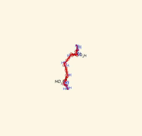 CC(CCC(=O)NCCCOCCOCCOCCCNS(=O)(=O)c1ccc(-c2ccc(S(=O)(=O)NC(CNC(=O)c3ccc4c(cnn4CCCNc4ncc[nH]4)c3)C(=O)O)cc2)cc1)C(=O)NCCCOCCOCCOCCCNS(=O)(=O)c1ccc(-c2ccc(S(=O)(=O)NC(CNC(=O)c3ccc4c(cnn4CCCNc4ncc[nH]4)c3)C(=O)O)cc2)cc1